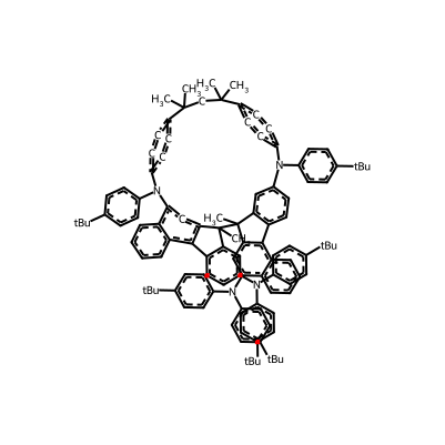 CC(C)(C)c1ccc(N2c3ccc(cc3)C(C)(C)CC(C)(C)c3ccc(cc3)N(c3ccc(C(C)(C)C)cc3)c3cc4c(c5ccccc35)-c3ccc(N(c5ccc(C(C)(C)C)cc5)c5ccc(C(C)(C)C)cc5)cc3C4(C)C3(C)c4cc2ccc4-c2c3cc(N(c3ccc(C(C)(C)C)cc3)c3ccc(C(C)(C)C)cc3)c3ccccc23)cc1